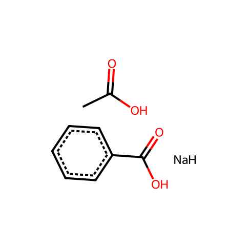 CC(=O)O.O=C(O)c1ccccc1.[NaH]